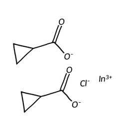 O=C([O-])C1CC1.O=C([O-])C1CC1.[Cl-].[In+3]